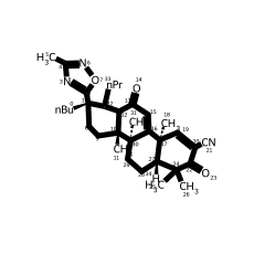 CCCC[C@]1(c2nc(C)no2)CC[C@]2(C)C(C(=O)C=C3[C@@]4(C)C=C(C#N)C(=O)C(C)(C)[C@@H]4CC[C@]32C)C1CCC